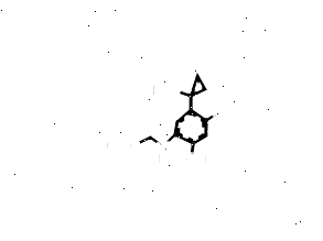 CCOC(=O)CNc1cc(C2(C)CC2)c(Cl)cc1O